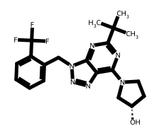 CC(C)(C)c1nc(N2CC[C@H](O)C2)c2nnn(Cc3ccccc3C(F)(F)F)c2n1